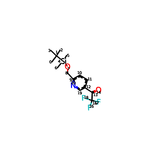 CC(C)(C)[Si](C)(C)OCc1ccc(C(=O)C(F)(F)F)cn1